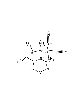 CCC1CNCCN1C(N)(CC)C(N)(C#N)C#N